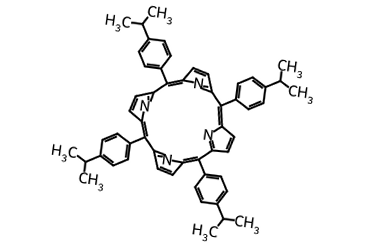 CC(C)c1ccc(C2=C3C=CC(=N3)C(c3ccc(C(C)C)cc3)=C3C=CC(=N3)C(c3ccc(C(C)C)cc3)=C3C=CC(=N3)C(c3ccc(C(C)C)cc3)=C3C=CC2=N3)cc1